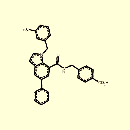 O=C(O)c1ccc(CNC(=O)c2cc(-c3ccccc3)cc3ccn(Cc4cccc(C(F)(F)F)c4)c23)cc1